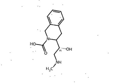 CNC[C@@H](O)C1Cc2ccccc2CN1C(=O)O